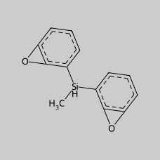 C[SiH](c1cccc2c1O2)c1cccc2c1O2